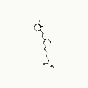 C\C=C/C(/C=C/c1cccc(C)c1C)=C\C=N\CCCC(N)=O